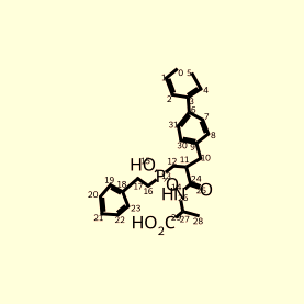 C/C=C\C(=C/C)c1ccc(CC(CP(=O)(O)CCc2ccccc2)C(=O)NC(C)C(=O)O)cc1